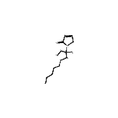 CCCCCCCC(C)(CC)N1CC=CC1=O